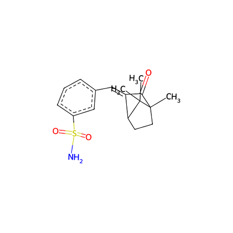 CC12CCC(C(=Cc3cccc(S(N)(=O)=O)c3)C1=O)C2(C)C